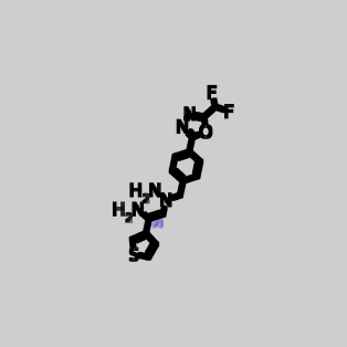 N/C(=C\N(N)Cc1ccc(-c2nnc(C(F)F)o2)cc1)c1ccsc1